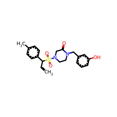 C=CC(c1ccc(C)cc1)S(=O)(=O)N1CCN(Cc2cccc(O)c2)C(=O)C1